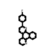 Fc1ccc(-c2ccc3c4cccnc4c4ccccc4c3n2)cc1